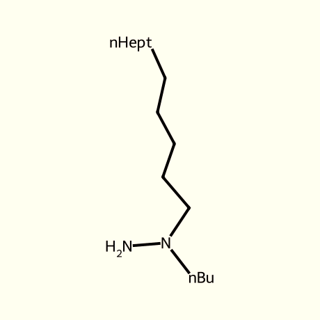 CCCCCCCCCCCCN(N)CCCC